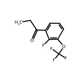 CCC(=O)c1cccc(OC(F)(F)F)c1F